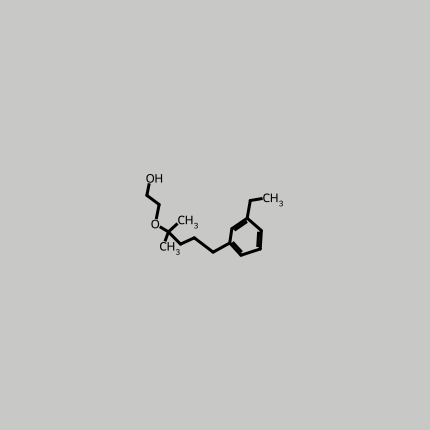 CCc1cccc(CCCC(C)(C)OCCO)c1